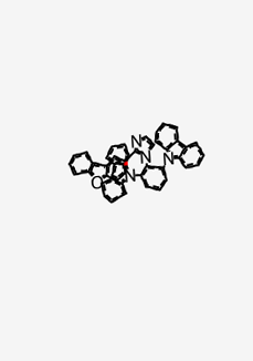 c1cc(-n2c3ccccc3c3ccccc32)c(-n2ccnc2-c2ccc3oc4ccccc4c3c2)c(-n2c3ccccc3c3ccccc32)c1